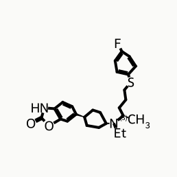 CCN([C@H]1CC[C@H](c2ccc3[nH]c(=O)oc3c2)CC1)[C@@H](C)CCCSc1ccc(F)cc1